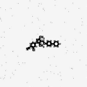 Cc1nn(-c2ccc(C#N)c(Cl)c2)c(C)c1COc1ccc(C2CCCCC2)cc1